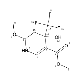 COC(=O)C1=CNC(OC)CC1(O)C(F)(F)F